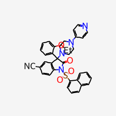 CCOc1ccccc1C1(N2CCN(c3ccncc3)CC2)C(=O)N(S(=O)(=O)c2cccc3ccccc23)c2ccc(C#N)cc21